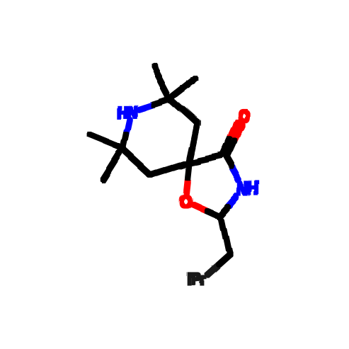 CC(C)CC1NC(=O)C2(CC(C)(C)NC(C)(C)C2)O1